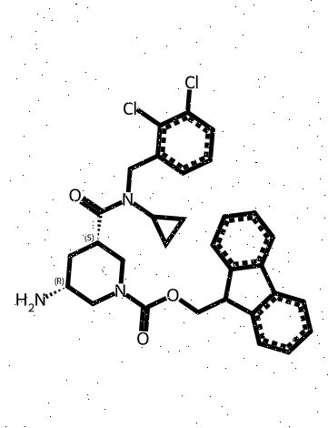 N[C@@H]1C[C@H](C(=O)N(Cc2cccc(Cl)c2Cl)C2CC2)CN(C(=O)OCC2c3ccccc3-c3ccccc32)C1